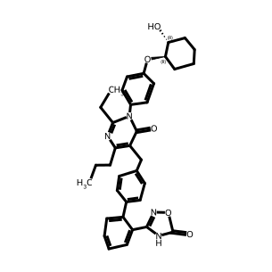 CCCc1nc(CC)n(-c2ccc(O[C@@H]3CCCC[C@H]3O)cc2)c(=O)c1Cc1ccc(-c2ccccc2-c2noc(=O)[nH]2)cc1